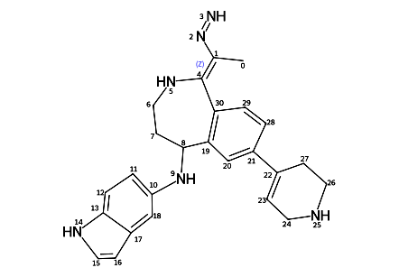 C/C(N=N)=C1/NCCC(Nc2ccc3[nH]ccc3c2)c2cc(C3=CCNCC3)ccc21